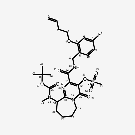 C=CCCOc1cc(F)ccc1CNC(=O)c1nc2n(c(=O)c1OS(C)(=O)=O)CCCCC2N(C)C(=O)OC(C)(C)C